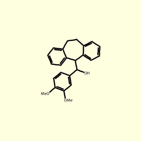 COc1ccc(C(O)C2c3ccccc3CCc3ccccc32)cc1OC